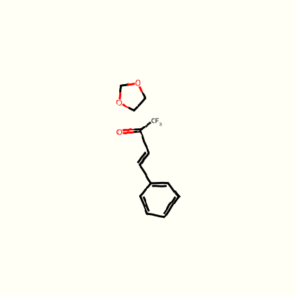 C1COCO1.O=C(C=Cc1ccccc1)C(F)(F)F